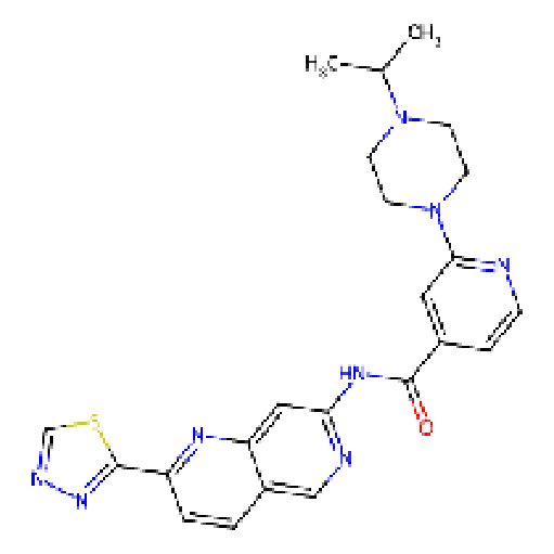 CC(C)N1CCN(c2cc(C(=O)Nc3cc4nc(-c5nncs5)ccc4cn3)ccn2)CC1